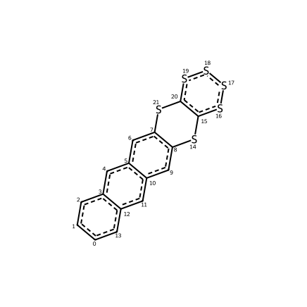 c1ccc2cc3cc4c(cc3cc2c1)Sc1ssssc1S4